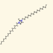 CCCCCCCCCCCCCCCCCN1C=CN(CCCCCCCCCCCCCCCCC)C1C